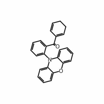 O=C(C1=CCCC=C1)c1ccccc1N1c2ccccc2Oc2ccccc21